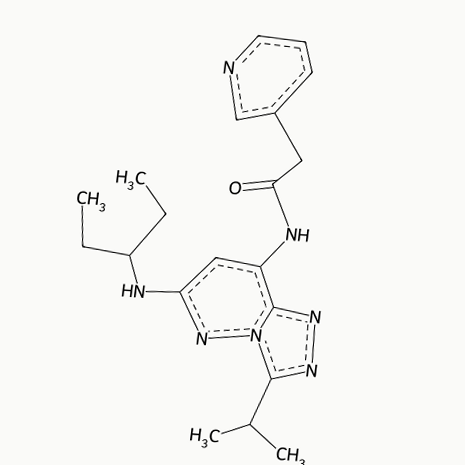 CCC(CC)Nc1cc(NC(=O)Cc2cccnc2)c2nnc(C(C)C)n2n1